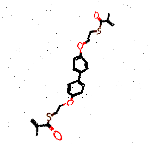 C=C(C)C(=O)SCCOc1ccc(-c2ccc(OCCSC(=O)C(=C)C)cc2)cc1